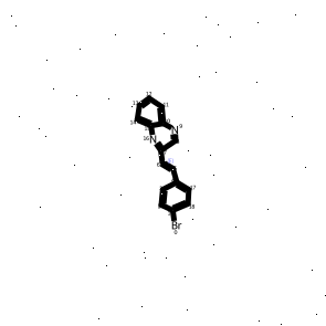 Brc1ccc(/C=C/c2cnc3ccccc3n2)cc1